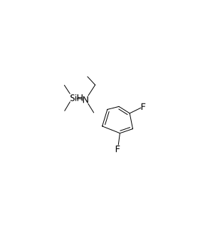 CCN(C)[SiH](C)C.Fc1cccc(F)c1